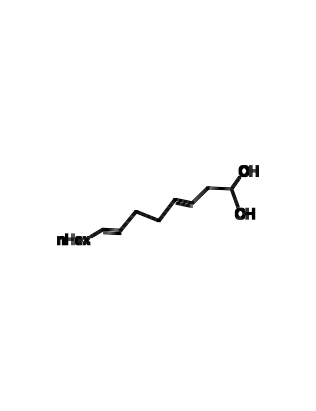 CCCCCCC=CCCC=CCC(O)O